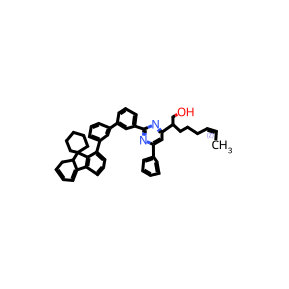 C/C=C\CCCC(CO)c1cc(-c2ccccc2)nc(-c2cccc(-c3cccc(-c4cccc5c4C4(CCCCC4)C4CC=CC=C54)c3)c2)n1